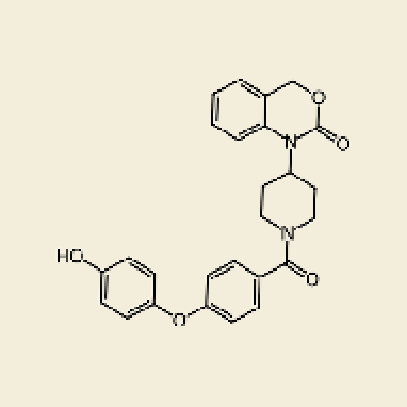 O=C(c1ccc(Oc2ccc(O)cc2)cc1)N1CCC(N2C(=O)OCc3ccccc32)CC1